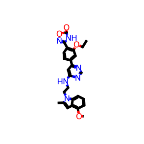 CCOc1cc(-c2cc(NCCn3c(C)cc4c(OC)cccc43)ncn2)ccc1-c1noc(=O)[nH]1